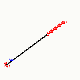 O=C(O)CCCCCNCCCCCCCCCCCCCCCCCCCCCCCCCCCCCCCCCCOOOOOOOOOOOOOOOO